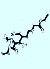 CCOC(=O)COCCC(CBr)C(O)C(NC=O)C(=O)OCC